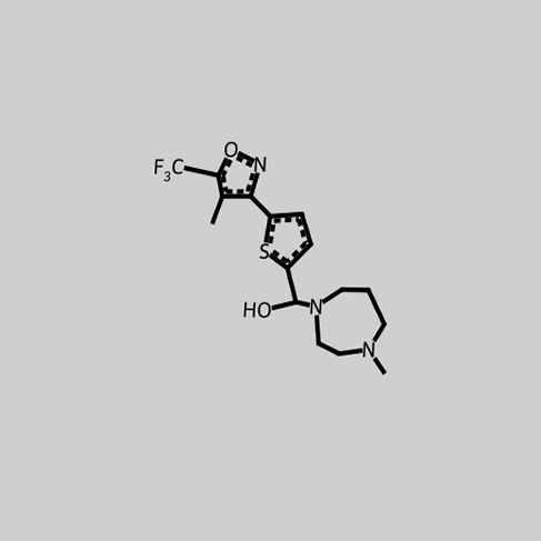 Cc1c(-c2ccc(C(O)N3CCCN(C)CC3)s2)noc1C(F)(F)F